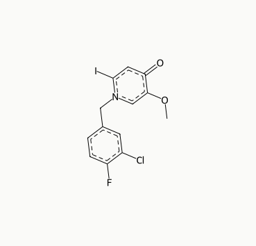 COc1cn(Cc2ccc(F)c(Cl)c2)c(I)cc1=O